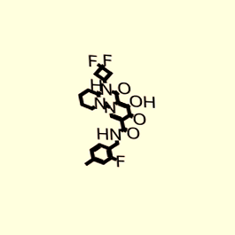 Cc1ccc(CNC(=O)c2cn3c(c(O)c2=O)C(=O)N(C2CC(F)(F)C2)[C@@H]2CCCCN23)c(F)c1